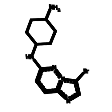 NC1CCC(Nc2ccc3ncc(Br)n3n2)CC1